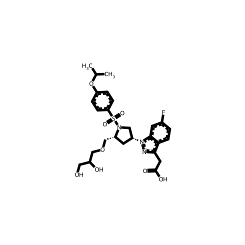 CC(C)Oc1ccc(S(=O)(=O)N2C[C@H](n3nc(CC(=O)O)c4ccc(F)cc43)C[C@@H]2COCC(O)CO)cc1